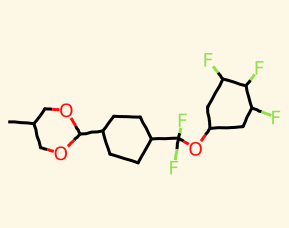 CC1COC(C2CCC(C(F)(F)OC3CC(F)C(F)C(F)C3)CC2)OC1